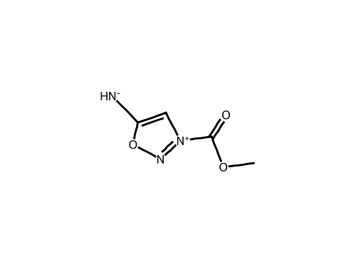 COC(=O)[n+]1cc([NH-])on1